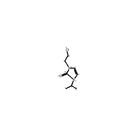 CC(C)n1ccn(CCCl)c1=O